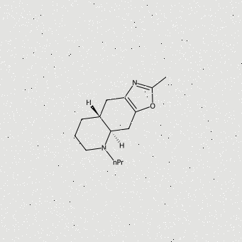 CCCN1CCC[C@@H]2Cc3nc(C)oc3C[C@H]21